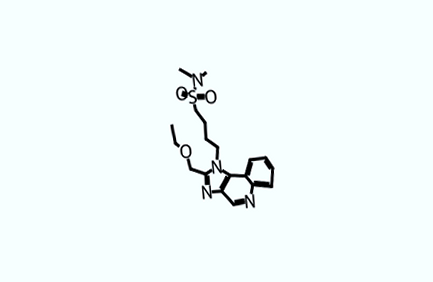 CCOCc1nc2cnc3ccccc3c2n1CCCCS(=O)(=O)N(C)C